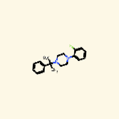 CC(C(=O)O)(c1ccccc1)N1CCN(c2ccccc2F)CC1